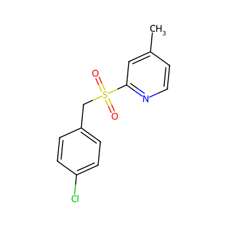 Cc1ccnc(S(=O)(=O)Cc2ccc(Cl)cc2)c1